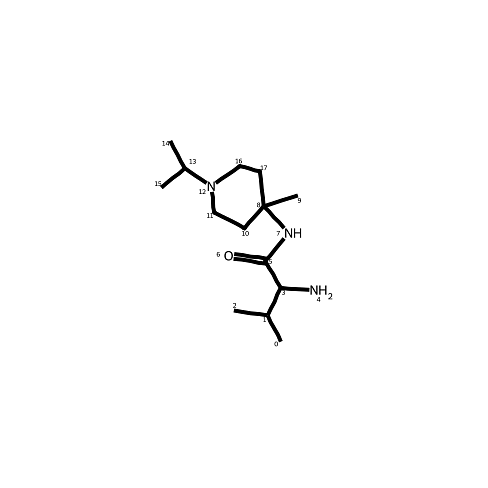 CC(C)C(N)C(=O)NC1(C)CCN(C(C)C)CC1